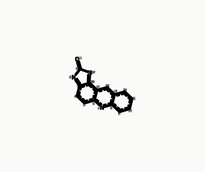 O=C1N=c2ccc3nc4ccccc4cc3c2=N1